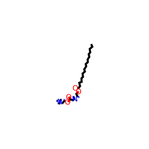 CCCCCCCCCCCCCCCCCCC(=O)OCC[N+](C)(C)CC(=O)OCC[N+](C)(C)C